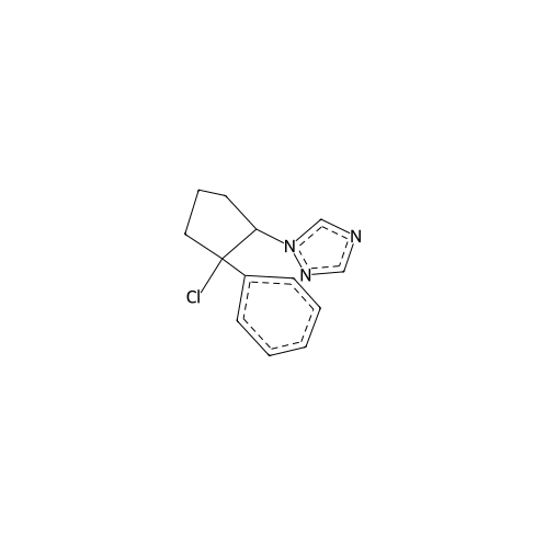 ClC1(c2ccccc2)CCCC1n1cncn1